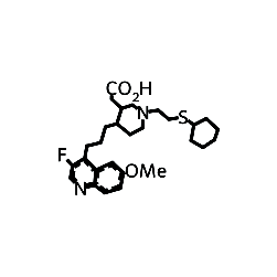 COc1ccc2ncc(F)c(CCCC3CCN(CCSC4CCCCC4)CC3CC(=O)O)c2c1